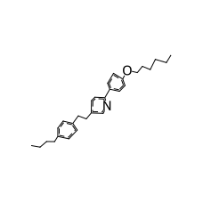 CCCCCCOc1ccc(-c2ccc(CCc3ccc(CCCC)cc3)cn2)cc1